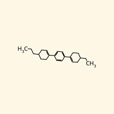 CCCC1CC=C(c2ccc(C3=CCC(CC)CC3)cc2)CC1